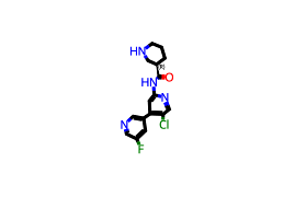 O=C(Nc1cc(-c2cncc(F)c2)c(Cl)cn1)[C@@H]1CCCNC1